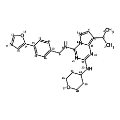 CC(C)c1cnn2c(NCc3ccc(-c4cnco4)cc3)nc(NC3CCOCC3)nc12